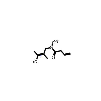 C=CCC(=O)N(CCC)C/C(C)=C(\C)CC